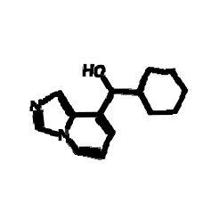 OC(c1cccn2cncc12)C1CCCCC1